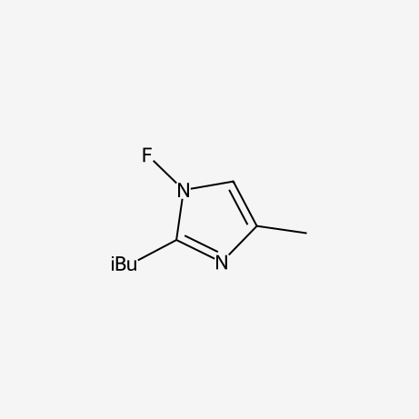 CCC(C)c1nc(C)cn1F